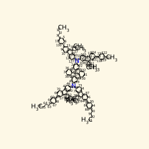 CCCCc1ccc(-c2ccc3c(c2)C(CC)(CC)c2cc(N(c4ccc(C(c5ccccc5)(c5ccccc5)c5ccc(N(c6ccc7c(c6)C(CC)(CC)c6cc(-c8ccc(CCCC)cc8)ccc6-7)c6ccc7c(c6)C(CC)(CC)c6cc(-c8ccc(CCCC)cc8)ccc6-7)cc5)cc4)c4ccc5c(c4)C(CC)(CC)c4cc(-c6ccc(C)cc6)ccc4-5)ccc2-3)cc1